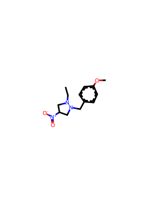 CCN1CC([N+](=O)[O-])CN1Cc1ccc(OC)cc1